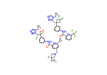 Cn1cnnc1C(F)C1(c2cccc(NC(=O)c3cc(CN4CC(C)(F)C4)cc(C4CC4)n3)c2)COC1.Cn1cnnc1CC1(c2cccc(NC(=O)c3cccc(C(F)(F)F)n3)c2)CC(F)(F)C1